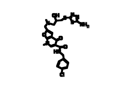 CN(Cc1cc2c(=O)c(C(=O)NCc3ccc(Cl)cc3)cn(C)c2o1)CC(O)CSc1nnc(N)s1